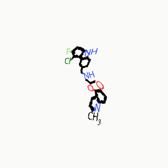 Cc1ccc2c3c(ccc2n1)OCC(CNCC1CCc2[nH]c4ccc(F)c(Cl)c4c2C1)O3